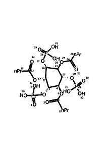 CCCC(=O)O[C@H]1[C@H](OP(=O)(O)O)[C@H](OC(=O)CCC)[C@H](OP(=O)(O)O)[C@@H](OC(=O)CCC)[C@@H]1OP(=O)(O)O